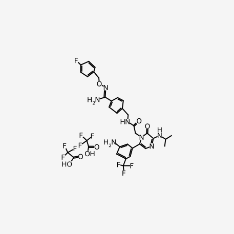 CC(C)Nc1ncc(-c2cc(N)cc(C(F)(F)F)c2)n(CC(=O)NCc2ccc(/C(N)=N/OCc3ccc(F)cc3)cc2)c1=O.O=C(O)C(F)(F)F.O=C(O)C(F)(F)F